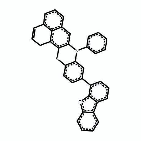 C1=Cc2cccc3cc4c(c(c23)C1)Sc1ccc(-c2cccc3c2oc2ccccc23)cc1N4c1ccccc1